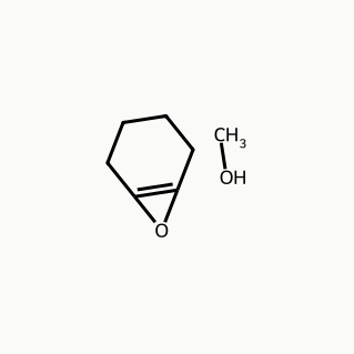 C1CCC2=C(C1)O2.CO